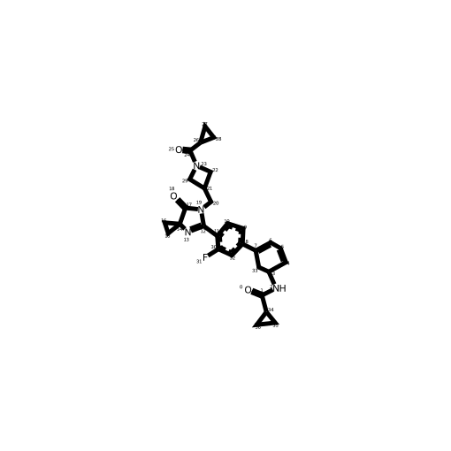 O=C(NC1C=CC=C(c2ccc(C3=NC4(CC4)C(=O)N3CC3CN(C(=O)C4CC4)C3)c(F)c2)C1)C1CC1